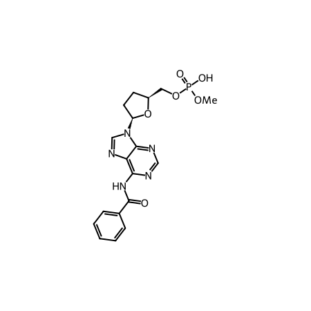 COP(=O)(O)OC[C@@H]1CC[C@H](n2cnc3c(NC(=O)c4ccccc4)ncnc32)O1